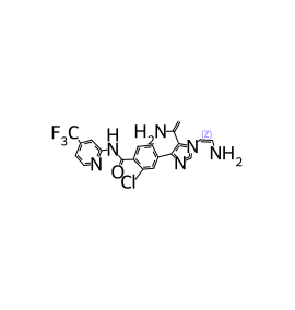 C=C(N)c1c(-c2ccc(C(=O)Nc3cc(C(F)(F)F)ccn3)c(Cl)c2)ncn1/C=C\N